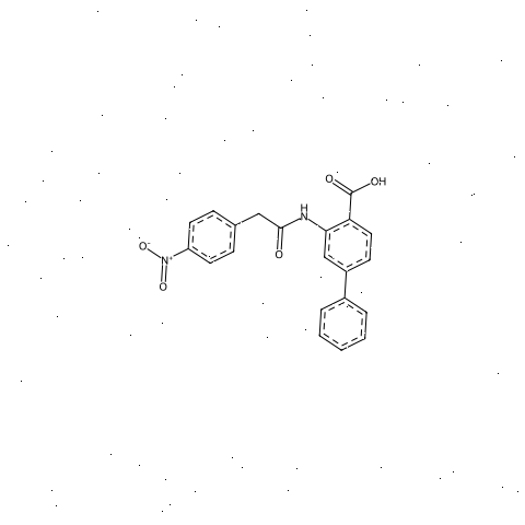 O=C(Cc1ccc([N+](=O)[O-])cc1)Nc1cc(-c2ccccc2)ccc1C(=O)O